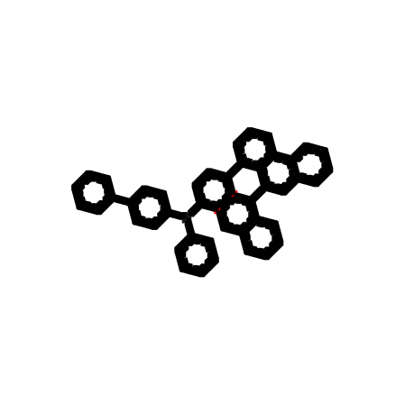 c1ccc(-c2ccc(N(c3ccccc3)c3ccc(-c4cccc5c4c(-c4cccc6ccccc46)cc4ccccc45)cc3)cc2)cc1